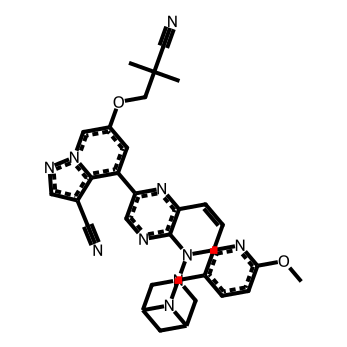 COc1ccc(CN2C3CC2CN(N2CC=Cc4nc(-c5cc(OCC(C)(C)C#N)cn6ncc(C#N)c56)cnc42)C3)cn1